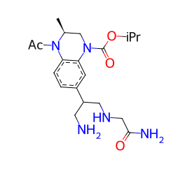 CC(=O)N1c2ccc(C(CN)CNCC(N)=O)cc2N(C(=O)OC(C)C)C[C@@H]1C